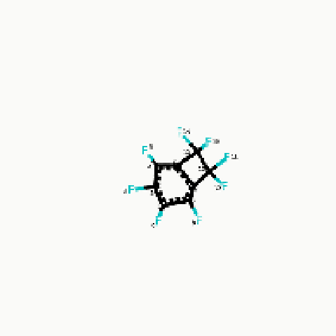 Fc1c(F)c(F)c2c(c1F)C(F)(F)C2(F)F